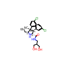 CC(C)(C)C[C@@H]1N[C@@H](C(=O)NCC(CO)CO)[C@H](c2cccc(Cl)c2)[C@@]1(C#N)c1ccc(Cl)cc1